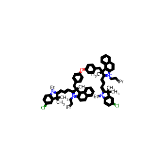 CCN1/C(=C/C=C/C2=[N+](CCC(C)C)c3ccc4ccccc4c3C2(C)Cc2ccc(Oc3ccc(CC4(C)C(/C=C/C=C5/N(CC)c6ccc(Cl)cc6C5(C)C)=[N+](CCC(C)C)c5ccc6ccccc6c54)cc3)cc2)C(C)(C)c2cc(Cl)ccc21